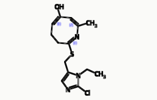 CCn1c(CS/C2=N/C(C)=C\C(O)=C/CC2)cnc1Cl